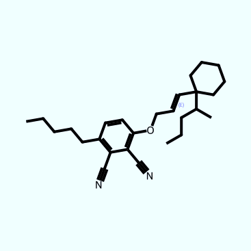 CCCCCc1ccc(OC/C=C/C2(C(C)CCC)CCCCC2)c(C#N)c1C#N